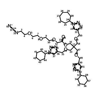 [N-]=[N+]=NCCOCCOCCOCC(=O)OCC(COCc1cn(C2CCCCCC2)nn1)(COCc1cn(C2CCCCC2)nn1)COCc1cn(C2CCCCC2)nn1